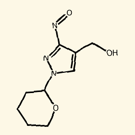 O=Nc1nn(C2CCCCO2)cc1CO